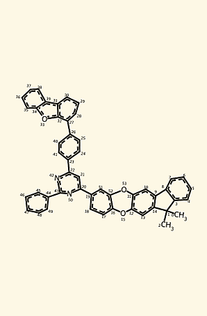 CC1(C)c2ccccc2-c2cc3c(cc21)Oc1ccc(-c2cc(-c4ccc(-c5cccc6c5oc5ccccc56)cc4)nc(-c4ccccc4)n2)cc1O3